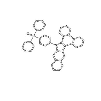 O=P(c1ccccc1)(c1ccccc1)c1ccc(-n2c3cc4ccccc4cc3c3c4ccccc4c4ccccc4c32)cc1